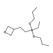 CCCO[Si](CC)(CCC1COC1)OCCC